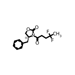 CC(F)(F)CCC(=O)N1C(=O)OC[C@@H]1Cc1ccccc1